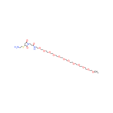 COCCOCCOCCOCCOCCOCCOCCOCCOCCOCCOCCOCCNC(=O)CCN1C(=O)CC(SCCN)C1=O